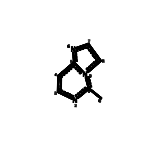 Cc1nccc2nccn12